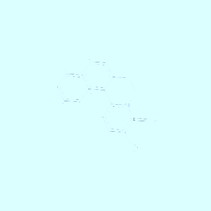 CCCCCOc1ccc2ccccc2c1-c1ccc(C#N)c(=O)[nH]1